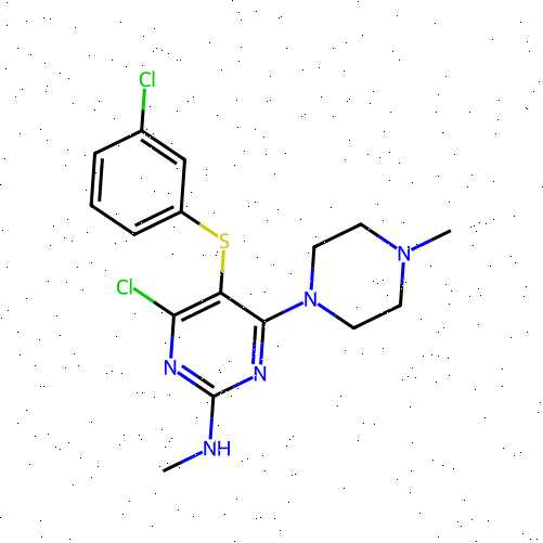 CNc1nc(Cl)c(Sc2cccc(Cl)c2)c(N2CCN(C)CC2)n1